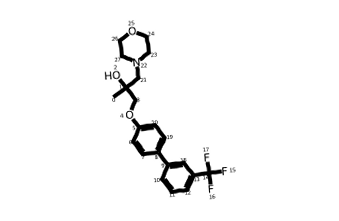 CC(O)(COc1ccc(-c2cccc(C(F)(F)F)c2)cc1)CN1CCOCC1